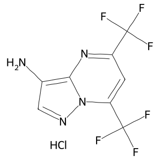 Cl.Nc1cnn2c(C(F)(F)F)cc(C(F)(F)F)nc12